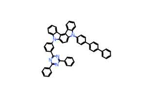 c1ccc(-c2ccc(-c3ccc(-n4c5ccccc5c5c6c7ccccc7n(-c7cccc(-c8nc(-c9ccccc9)nc(-c9ccccc9)n8)c7)c6ccc54)cc3)cc2)cc1